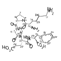 C[C@H](NC(=O)[C@@H]1CCCN1C(=O)[C@@H](N)CCCCN)C(=O)N[C@@H](CCC(=O)O)C(=O)N[C@@H](Cc1ccccc1)C(=O)O